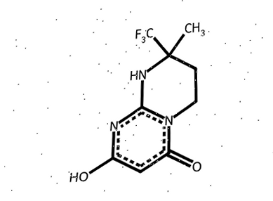 CC1(C(F)(F)F)CCn2c(nc(O)cc2=O)N1